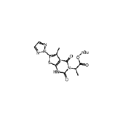 CCCCOC(=O)C(C)n1c(=O)[nH]c2sc(-n3nccn3)c(C)c2c1=O